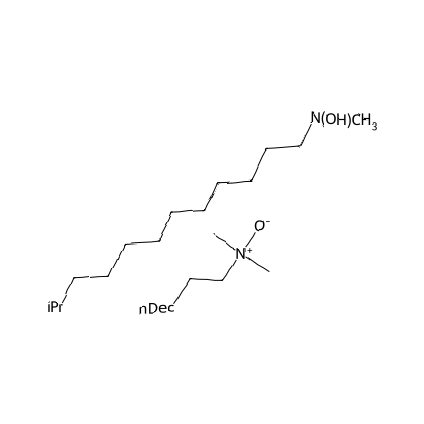 CC(C)CCCCCCCCCCN(C)O.CCCCCCCCCCCC[N+](C)(C)[O-]